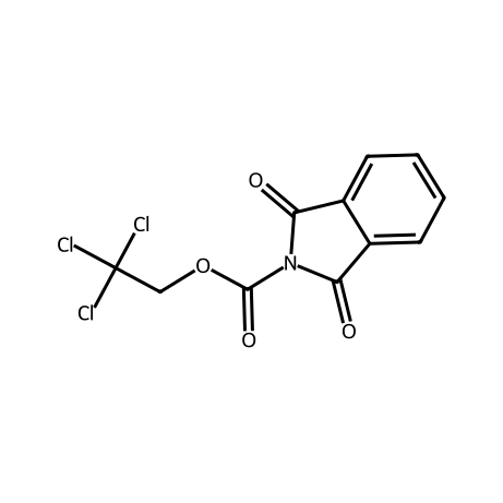 O=C(OCC(Cl)(Cl)Cl)N1C(=O)c2ccccc2C1=O